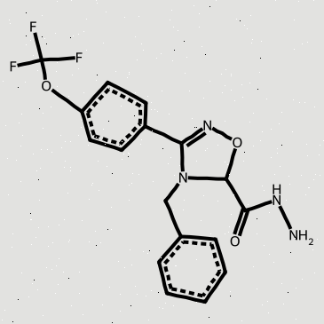 NNC(=O)C1ON=C(c2ccc(OC(F)(F)F)cc2)N1Cc1ccccc1